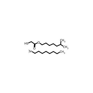 CC(C)CCCCCOC(=O)CS.CCCCCCC[CH2][Sn]